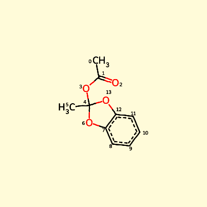 CC(=O)OC1(C)Oc2ccccc2O1